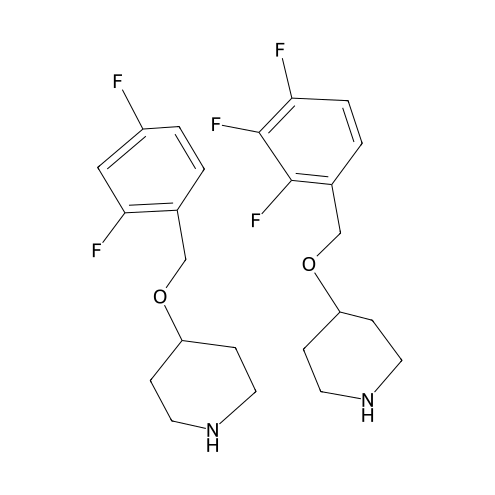 Fc1ccc(COC2CCNCC2)c(F)c1.Fc1ccc(COC2CCNCC2)c(F)c1F